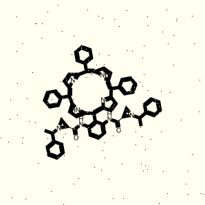 CC(c1ccccc1)N1C[C@@H]1C(=O)Nc1cccc(NC(=O)[C@@H]2CN2C(C)c2ccccc2)c1-c1c2nc(c(-c3ccccc3)c3ccc([nH]3)c(-c3ccccc3)c3nc(c(-c4ccccc4)c4ccc1[nH]4)C=C3)C=C2